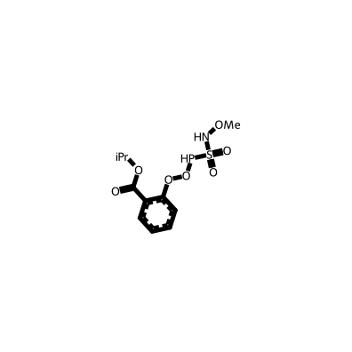 CONS(=O)(=O)POOc1ccccc1C(=O)OC(C)C